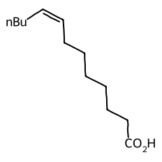 CCCC/C=C\CCCCCCC(=O)O